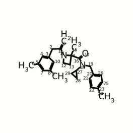 C=C(Cc1cc(C)cc(C)c1)N1CCC1(C)C(=O)N(Cc1ccc(C)cc1)C1CC1